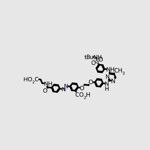 Cc1cnc(Nc2ccc(OCCOc3ccc(/N=N/c4ccc(C(=O)NCCC(=O)O)cc4)cc3C(=O)O)cc2)nc1Nc1cccc(S(=O)(=O)NC(C)(C)C)c1